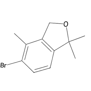 Cc1c(Br)ccc2c1COC2(C)C